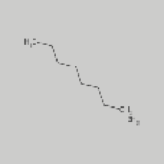 B.CCCCCCCC